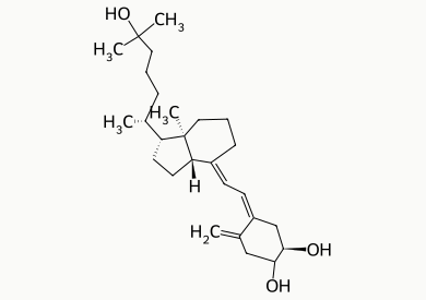 C=C1CC(O)[C@H](O)C/C1=C/C=C1\CCC[C@]2(C)[C@@H]([C@H](C)CCCC(C)(C)O)CC[C@@H]12